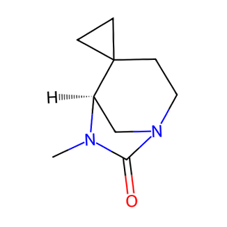 CN1C(=O)N2CCC3(CC3)[C@H]1C2